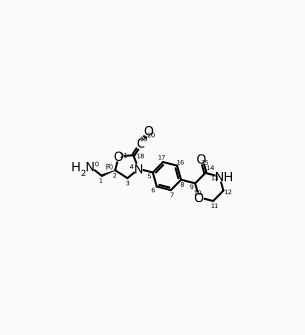 NC[C@@H]1CN(c2ccc(C3OCCNC3=O)cc2)C(=C=O)O1